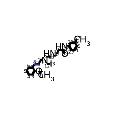 COc1ccccc1/C=C/CN(CI)CCNCCC(=O)Nc1cccc(C)c1